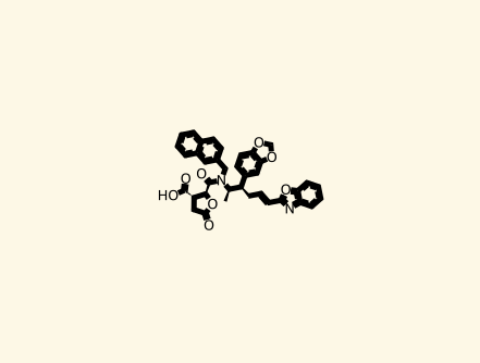 C[C@H]([C@H](CC=Cc1nc2ccccc2o1)c1ccc2c(c1)OCO2)N(Cc1ccc2ccccc2c1)C(=O)[C@H]1OC(=O)C[C@@H]1C(=O)O